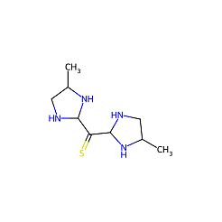 CC1CNC(C(=S)C2NCC(C)N2)N1